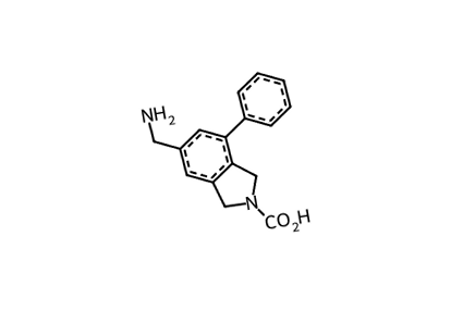 NCc1cc2c(c(-c3ccccc3)c1)CN(C(=O)O)C2